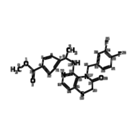 COC(=O)c1ccc(C(C)Nc2nccc3c2N(Cc2ccc(F)c(F)c2)C(=O)CS3)cc1